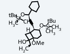 C=CC1(O)C[C@@H]2[C@@H](C#C[C@@H](O[Si](C)(C)C(C)(C)C)C3CCCCC3)[C@H](O[Si](C)(C)C(C)(C)C)CC[C@@]21OC